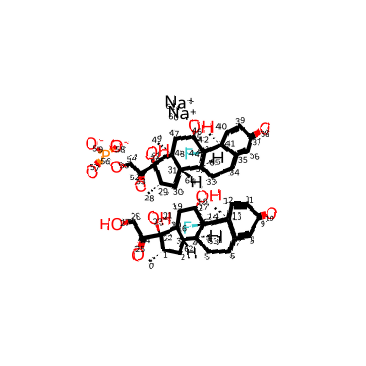 C[C@H]1C[C@H]2[C@@H]3CCC4=CC(=O)C=C[C@]4(C)[C@@]3(F)[C@@H](O)C[C@]2(C)[C@@]1(O)C(=O)CO.C[C@H]1C[C@H]2[C@@H]3CCC4=CC(=O)C=C[C@]4(C)[C@@]3(F)[C@@H](O)C[C@]2(C)[C@@]1(O)C(=O)COP(=O)([O-])[O-].[Na+].[Na+]